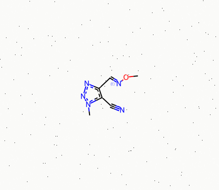 CO/N=C/c1nnn(C)c1C#N